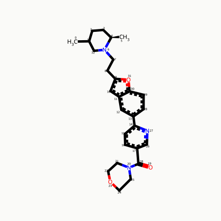 CC1CC[C@@H](C)N(CCc2cc3cc(-c4ccc(C(=O)N5CCOCC5)cn4)ccc3o2)C1